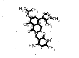 Cc1cc(C)c(CN2CCc3c(-c4nnn(C)c4C)cc(OC(C)C)c(Cl)c3C2=O)c(=O)[nH]1